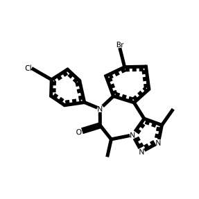 Cc1nnn2c1-c1ccc(Br)cc1N(c1ccc(Cl)cc1)C(=O)C2C